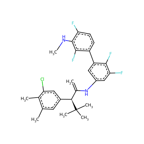 C=C(Nc1cc(F)c(F)c(-c2ccc(F)c(NC)c2F)c1)[C@H](c1cc(C)c(C)c(Cl)c1)C(C)(C)C